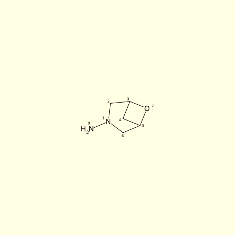 NN1CC2CC(C1)O2